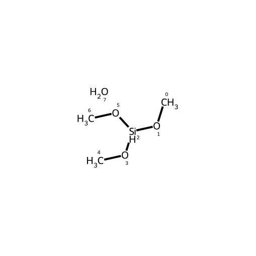 CO[SiH](OC)OC.O